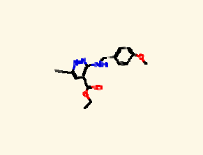 CCOC(=O)c1cc(C)nnc1NCc1ccc(OC)cc1